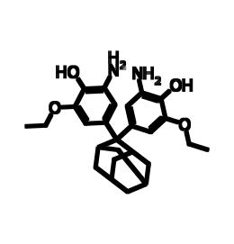 CCOc1cc(C2(c3cc(N)c(O)c(OCC)c3)C3CC4CC(C3)CC2C4)cc(N)c1O